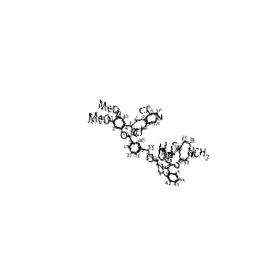 COc1ccc(C(Cc2c(Cl)cncc2Cl)OC(=O)c2cccc(COC(=O)NC(C(=O)O[C@H]3CN(C)CCC3C)c3ccccc3)c2)cc1OC